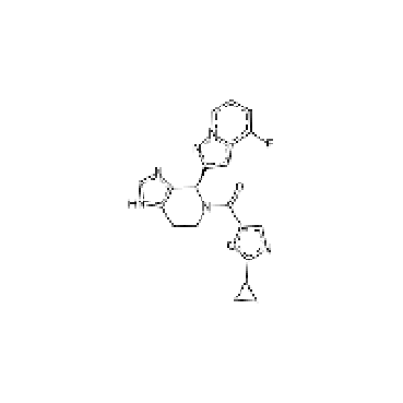 O=C(c1cnc(C2CC2)o1)N1CCc2[nH]cnc2[C@H]1c1cc2c(F)cccn2n1